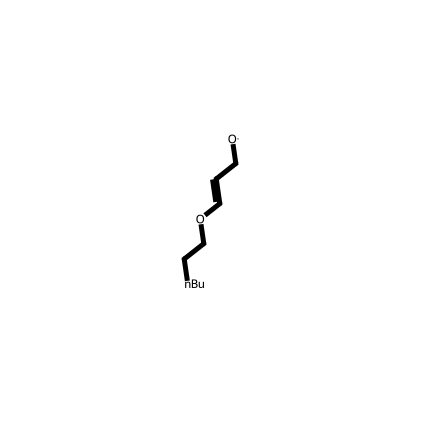 CCCCCCOC=CC[O]